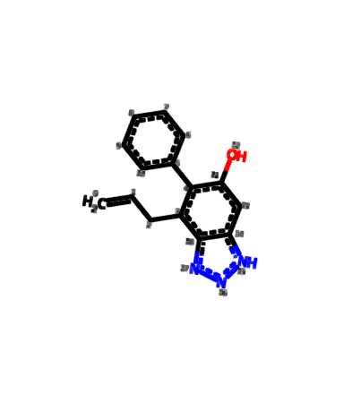 C=CCc1c(-c2ccccc2)c(O)cc2[nH]nnc12